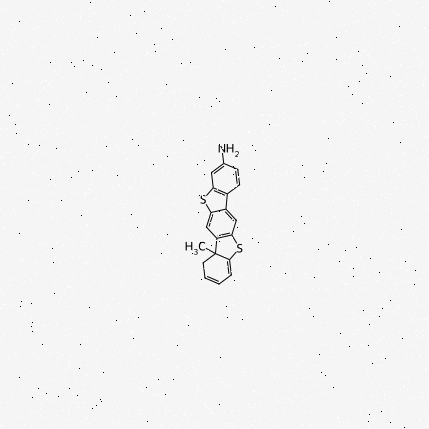 CC12CC=CC=C1Sc1cc3c(cc12)sc1cc(N)ccc13